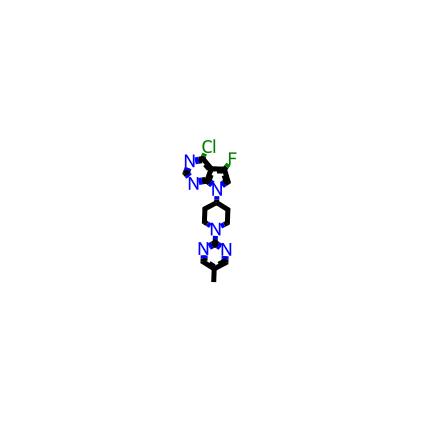 Cc1cnc(N2CCC(n3cc(F)c4c(Cl)ncnc43)CC2)nc1